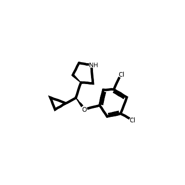 Clc1cc(Cl)cc(O[C@@H](C2CC2)[C@H]2CCNC2)c1